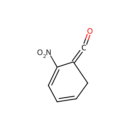 O=C=C1CC=CC=C1[N+](=O)[O-]